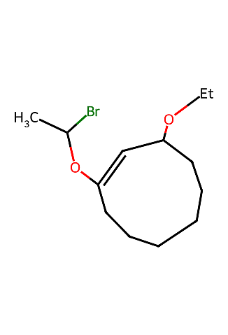 CCOC1C=C(OC(C)Br)CCCCCC1